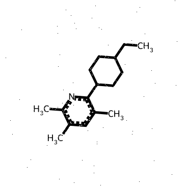 CCC1CCC(c2nc(C)c(C)cc2C)CC1